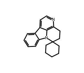 c1ccc2c(c1)c1ccnc3c1n2C1(CCCCC1)CC3